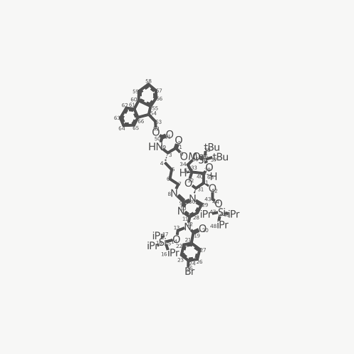 COC(=O)[C@H](CCCCN=c1nc(N(CO[Si](C(C)C)(C(C)C)C(C)C)C(=O)c2ccc(Br)cc2)ccn1[C@@H]1O[C@@H]2CO[Si](C(C)(C)C)(C(C)(C)C)O[C@H]2[C@H]1OCO[Si](C(C)C)(C(C)C)C(C)C)NC(=O)OCC1c2ccccc2-c2ccccc21